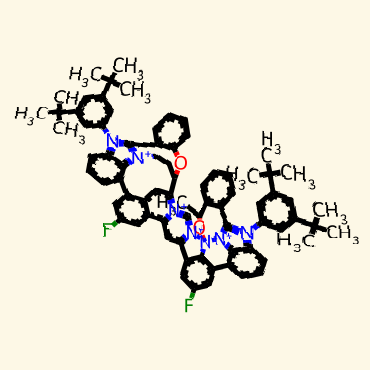 CC1O[N+]23c4c(cc(F)cc4-c4cc5c6cc(F)cc7c6cc([n+]5c[n+]42)C2CC[n+]4c(n(-c5cc(C(C)(C)C)cc(C(C)(C)C)c5)c5cccc-7c54)-c4ccccc4O2)-c2cccc4c2[n+]3c(n4-c2cc(C(C)(C)C)cc(C(C)(C)C)c2)-c2ccccc21